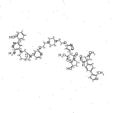 Cc1ncsc1-c1ccc(C2(NC(=O)[C@@H]3C[C@@H](O)CN3C(=O)[C@H](c3cc(OCCN4CCN(CCOc5cc(N6CC7CCN(c8cc(-c9ccccc9O)nnc8N)CC6C7)ccn5)CC4)no3)C(C)C)CN(C)C2)cc1